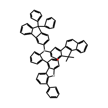 CC1(C)c2ccc(N(c3ccc4c(c3)-c3ccccc3C4(c3ccccc3)c3ccccc3)c3ccccc3-c3cccc4oc5c(-c6ccccc6)cccc5c34)cc2-c2ccc3ccccc3c21